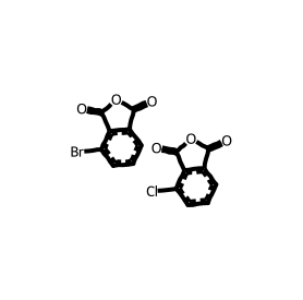 O=C1OC(=O)c2c(Br)cccc21.O=C1OC(=O)c2c(Cl)cccc21